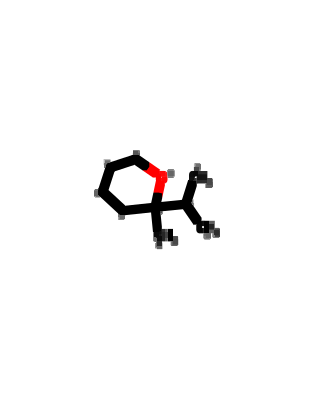 CC(C)C1([SiH3])CCCCO1